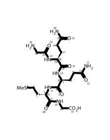 CSCC[C@H](NC(=O)[C@H](CCC(N)=O)NC(=O)[C@H](CCC(N)=O)NC(=O)CN)C(=O)NCC(=O)O